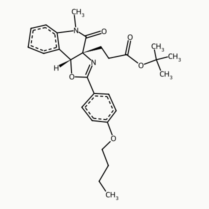 CCCCOc1ccc(C2=N[C@@]3(CCC(=O)OC(C)(C)C)C(=O)N(C)c4ccccc4[C@H]3O2)cc1